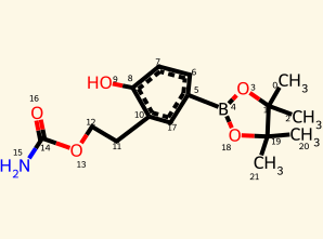 CC1(C)OB(c2ccc(O)c(CCOC(N)=O)c2)OC1(C)C